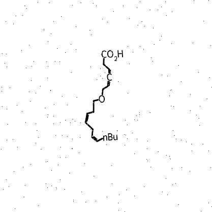 CCCC/C=C\C/C=C\CCOCC=C=CCC(=O)O